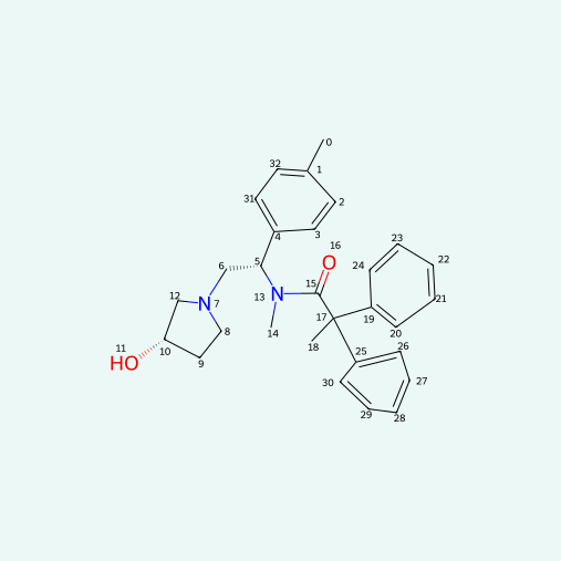 Cc1ccc([C@@H](CN2CC[C@H](O)C2)N(C)C(=O)C(C)(c2ccccc2)c2ccccc2)cc1